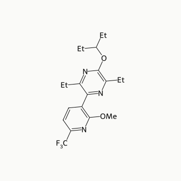 CCc1nc(-c2ccc(C(F)(F)F)nc2OC)c(CC)nc1OC(CC)CC